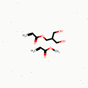 C=CC(=O)OC.C=CC(=O)OCC(CO)CO